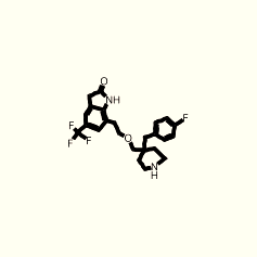 O=C1Cc2cc(C(F)(F)F)cc(CCOCC3(Cc4ccc(F)cc4)CCNCC3)c2N1